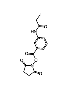 O=C(CI)Nc1cccc(C(=O)ON2C(=O)CCC2=O)c1